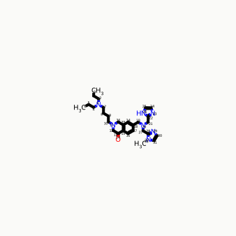 CCCN(CCC)CCCCN1CC(=O)c2ccc(CN(Cc3ncc[nH]3)Cc3nccn3C)cc2C1